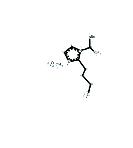 CCCCC(C)n1ccnc1CCCN.O.O